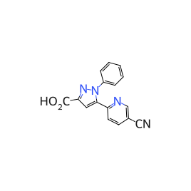 N#Cc1ccc(-c2cc(C(=O)O)nn2-c2ccccc2)nc1